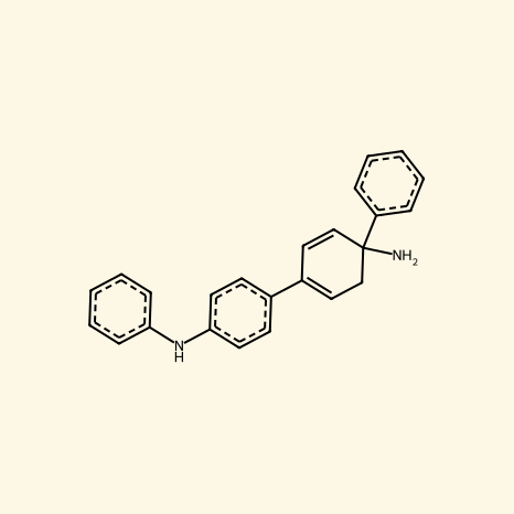 NC1(c2ccccc2)C=CC(c2ccc(Nc3ccccc3)cc2)=CC1